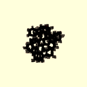 Cc1cccc2c3ccccc3n(-c3c(C#N)c(-n4c5ccccc5c5cccc(C)c54)c(-n4c5ccccc5c5cccc(C)c54)c(-c4cccc5c4sc4cnccc45)c3-n3c4ccccc4c4cccc(C)c43)c12